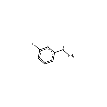 NNc1cccc(F)n1